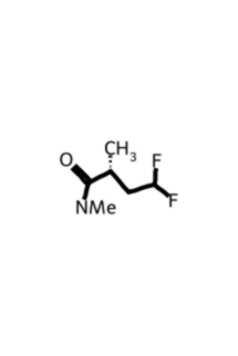 [CH2]NC(=O)[C@H](C)CC(F)F